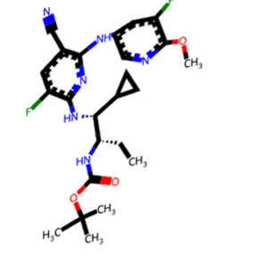 CC[C@H](NC(=O)OC(C)(C)C)[C@H](Nc1nc(Nc2cnc(OC)c(F)c2)c(C#N)cc1F)C1CC1